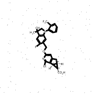 CCc1nc(OCc2cc3c(cc2F)C(C)(C)CN3c2ccccc2C(F)(F)F)cc2c1[C@H]1[C@@H](C2)[C@@H]1C(=O)O